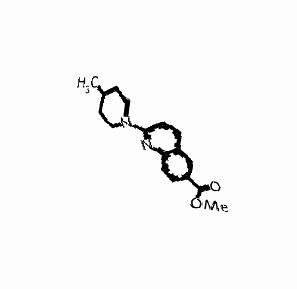 COC(=O)c1ccc2nc(N3CCC(C)CC3)ccc2c1